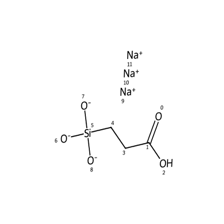 O=C(O)CC[Si]([O-])([O-])[O-].[Na+].[Na+].[Na+]